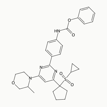 CC1COCCN1c1cc(C2(S(=O)(=O)C3CC3)CCCC2)nc(-c2ccc(NC(=O)Oc3ccccc3)cc2)n1